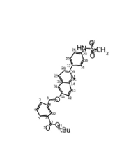 CC(C)(C)OC(=O)c1cccc(COc2ccc3nc(-c4ccc(NS(C)(=O)=O)cc4)ccc3c2)c1